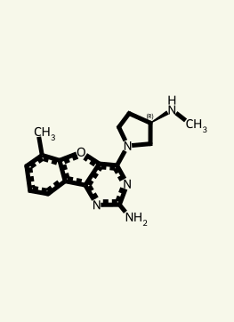 CN[C@@H]1CCN(c2nc(N)nc3c2oc2c(C)cccc23)C1